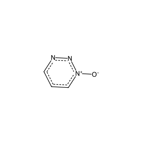 [O-][n+]1cccnn1